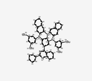 CC(C)(C)c1cc(N2c3cc4ccccc4cc3B3c4cc5ccccc5cc4N(c4cc(C(C)(C)C)cc(C(C)(C)C)c4)c4cc(-c5nc(-c6ccccc6)nc6ccccc56)cc2c43)cc(C(C)(C)C)c1